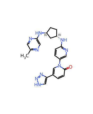 Cc1cnc(N[C@H]2CC[C@H](Nc3ccc(-n4cc(-c5c[nH]nn5)ccc4=O)cn3)C2)cn1